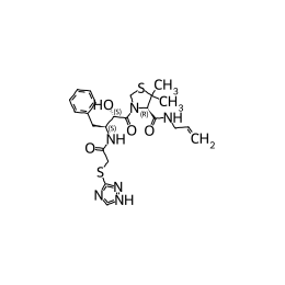 C=CCNC(=O)[C@H]1N(C(=O)[C@@H](O)[C@H](Cc2ccccc2)NC(=O)CSc2nc[nH]n2)CSC1(C)C